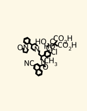 CN(CC(CCN1CCC(c2ccccc2N2CCCC2=O)CC1)c1ccc(Cl)c(Cl)c1)C(=O)c1cc(C#N)cc2ccccc12.O=C(O)CC(O)(CC(=O)O)C(=O)O